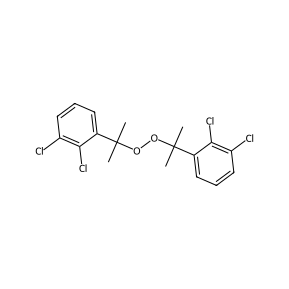 CC(C)(OOC(C)(C)c1cccc(Cl)c1Cl)c1cccc(Cl)c1Cl